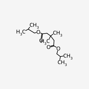 CC(C)COC(=O)CC(C)(C)CC(=O)OCC(C)C